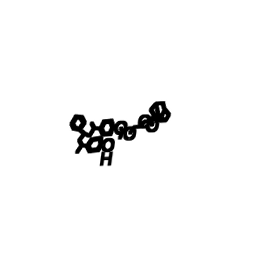 CC(OCCOC(=O)C12CC3CC(CC(C3)C1)C2)Oc1ccc(C(C)CC(CC(C)c2ccc(O)cc2)c2ccccc2)cc1